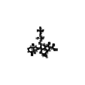 COc1c(N2C[C@@H]3CCCN[C@@H]3C2)c(F)cc2c(=O)c(C(=O)O)cn(C3CC3)c12.F[B-](F)(F)F.F[B-](F)(F)F